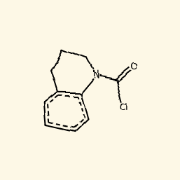 O=C(Cl)N1CCCc2ccccc21